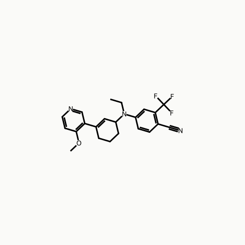 CCN(c1ccc(C#N)c(C(F)(F)F)c1)C1C=C(c2cnccc2OC)CCC1